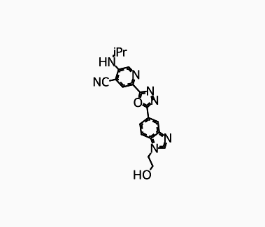 CC(C)Nc1cnc(-c2nnc(-c3ccc4c(c3)ncn4CCO)o2)cc1C#N